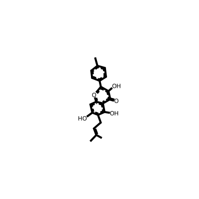 CC(C)=CCc1c(O)cc2oc(-c3ccc(C)cc3)c(O)c(=O)c2c1O